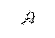 O.O=C=C1C=CC=CN1